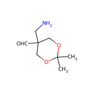 CC1(C)OCC([CH]N)(C=O)CO1